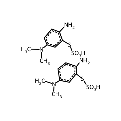 CN(C)c1ccc(N)c(SS(=O)(=O)O)c1.CN(C)c1ccc(N)c(SS(=O)(=O)O)c1